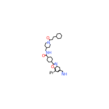 CC(C)C1=C2OC(C3CCC(C(=O)NCC4CCN(C(=O)CCC5CCCCC5)CC4)CC3)=NC2CC(C=N)=C1